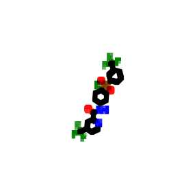 O=C(N[C@H]1CC[C@](F)(S(=O)(=O)c2cccc(C(F)(F)F)c2)CC1)c1cc(C(F)(F)F)ccn1